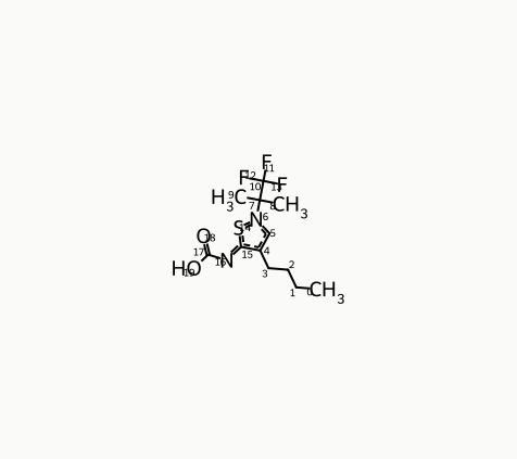 CCCCc1cn(C(C)(C)C(F)(F)F)s/c1=N\C(=O)O